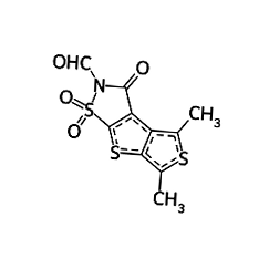 Cc1sc(C)c2c3c(sc12)S(=O)(=O)N(C=O)C3=O